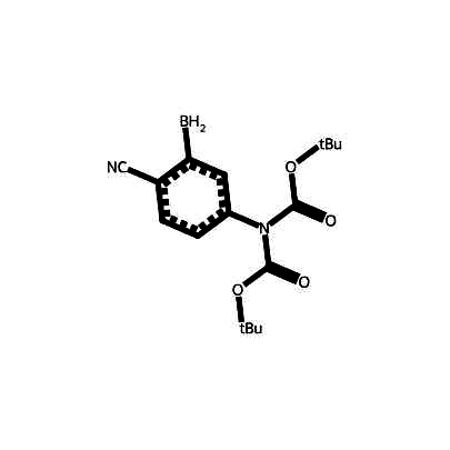 Bc1cc(N(C(=O)OC(C)(C)C)C(=O)OC(C)(C)C)ccc1C#N